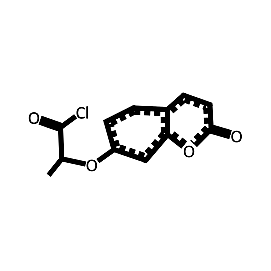 CC(Oc1ccc2ccc(=O)oc2c1)C(=O)Cl